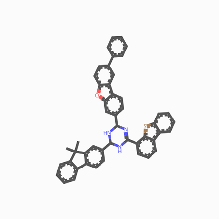 CC1(C)c2ccccc2-c2ccc(C3NC(c4cccc5c4sc4ccccc45)=NC(c4ccc5c(c4)oc4ccc(-c6ccccc6)cc45)N3)cc21